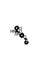 O=C(Nc1ccc(OCCN2CCCC2)cc1)c1c[nH]c2c1C(=O)CCC2